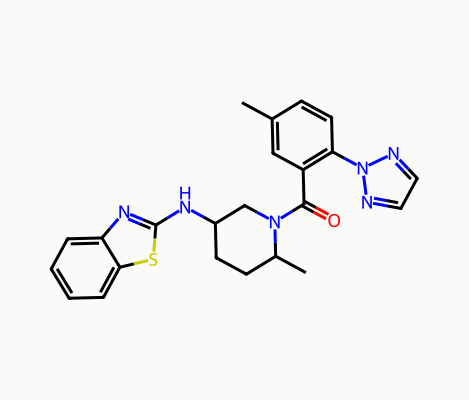 Cc1ccc(-n2nccn2)c(C(=O)N2CC(Nc3nc4ccccc4s3)CCC2C)c1